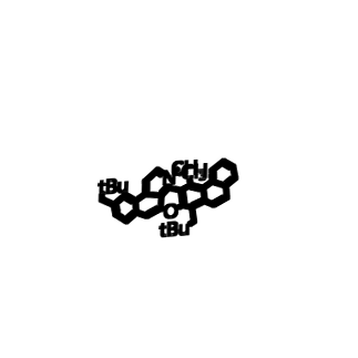 Cc1c2c(c(CC(C)(C)C)c3ccc4ccccc4c13)Oc1cc3ccc(CC(C)(C)C)cc3c3cc[n+](C)c-2c13